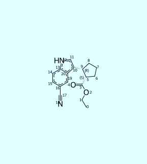 CCOC(=O)[C@H]1CCC[C@H]1c1c[nH]c2ccc(C#N)cc12